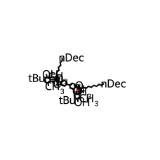 CCCCCCCCCCCCCCCCCCN(Cc1c(C)cc(C(C)(C)C)c(O)c1C)S(=O)(=O)c1ccc(-c2ccc(S(=O)(=O)N(CCCCCCCCCCCCCCCCCC)Cc3c(C)cc(C(C)(C)C)c(O)c3C)cc2)cc1